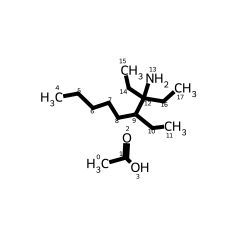 CC(=O)O.CCCCCC(CC)C(N)(CC)CC